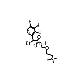 CCC(c1ncc(F)c(I)c1F)S(=O)(=O)NCOCC[Si](C)(C)C